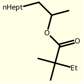 CCCCCCCCC(C)OC(=O)C(C)(C)CC